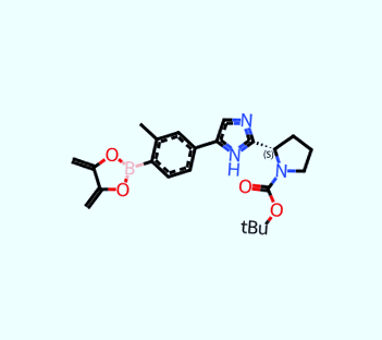 C=C1OB(c2ccc(-c3cnc([C@@H]4CCCN4C(=O)OC(C)(C)C)[nH]3)cc2C)OC1=C